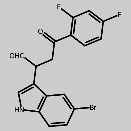 O=CC(CC(=O)c1ccc(F)cc1F)c1c[nH]c2ccc(Br)cc12